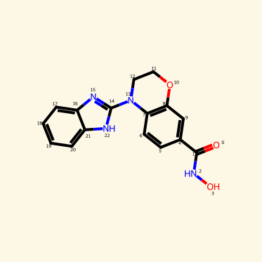 O=C(NO)c1ccc2c(c1)OCCN2c1nc2ccccc2[nH]1